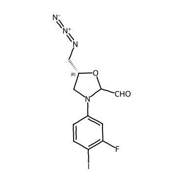 [N-]=[N+]=NC[C@H]1CN(c2ccc(I)c(F)c2)C(C=O)O1